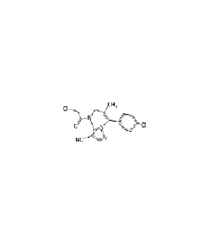 CC1=C(c2ccc(Cl)cc2)n2ncc(C#N)c2N(C(=O)CCl)C1